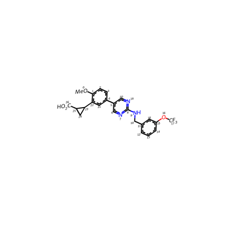 COc1ccc(-c2cnc(NCc3cccc(OC(F)(F)F)c3)nc2)cc1C1CC1C(=O)O